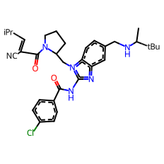 CC(C)C=C(C#N)C(=O)N1CCCC1Cn1c(NC(=O)c2ccc(Cl)cc2)nc2cc(CNC(C)C(C)(C)C)ccc21